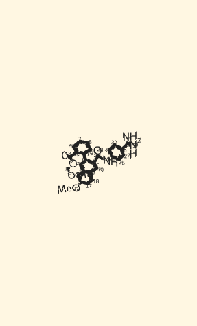 COCOC(=O)c1ccccc1-c1cc2cc(OC)ccc2cc1C(=O)Nc1ccc(C(=N)N)cc1